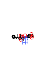 O=C(Nc1ccc2c(c1)OCCO2)N[C@H]1CO[C@@H]2[C@@H](CCc3ccccc3)CO[C@@H]21